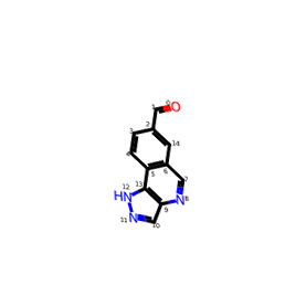 O=Cc1ccc2c(cnc3cn[nH]c32)c1